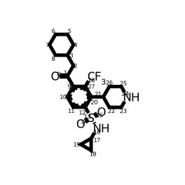 O=C(CC1CCCCC1)c1ccc(S(=O)(=O)NC2CC2)c(C2CCNCC2)c1C(F)(F)F